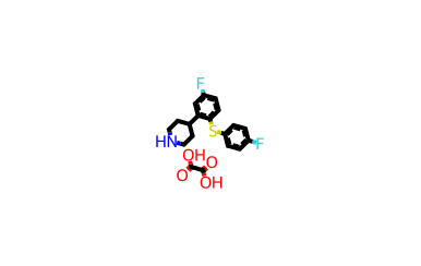 Fc1ccc(Sc2ccc(F)cc2C2CCNCC2)cc1.O=C(O)C(=O)O